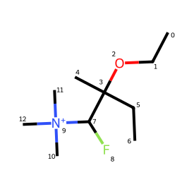 CCOC(C)(CC)C(F)[N+](C)(C)C